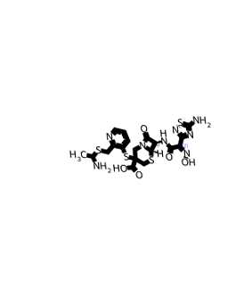 CC(N)SCc1ncccc1SC1(C(=O)O)CS[C@@H]2[C@H](NC(=O)/C(=N\O)c3nsc(N)n3)C(=O)N2C1